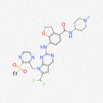 CCS(=O)(=O)c1nccnc1Cn1c(C(F)F)cc2cnc(Nc3ccc(C(=O)NC4CCN(C)CC4)c4c3OCC4)nc21